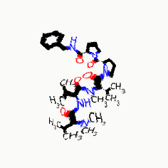 CC(C)C(C(=O)N[C@H](C(=O)N(C)[C@H](C(=O)N1CCC[C@H]1C(=O)N1CCC[C@H]1C(=O)NCc1ccccc1)C(C)C)C(C)C)N(C)C